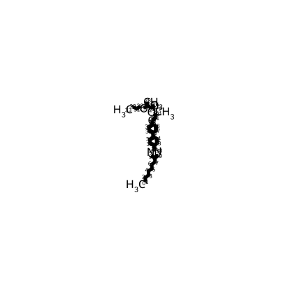 CCCCCCCCc1cnc(-c2ccc(-c3ccc(OC[C@H](C)OC(=O)C(C)OCCCC)cc3)cc2)nc1